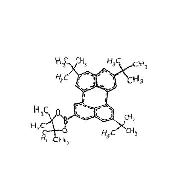 CC(C)(C)c1cc2cc(B3OC(C)(C)C(C)(C)O3)cc3c4cc(C(C)(C)C)cc5cc(C(C)(C)C)cc(c(c1)c23)c54